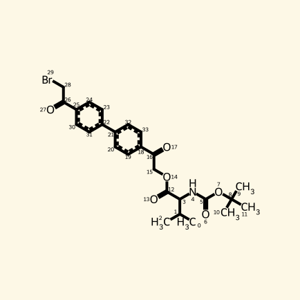 CC(C)C(NC(=O)OC(C)(C)C)C(=O)OCC(=O)c1ccc(-c2ccc(C(=O)CBr)cc2)cc1